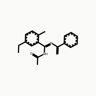 C=C(/N=C(\NC(C)=O)c1cc(CC)ccc1C)c1ccccc1